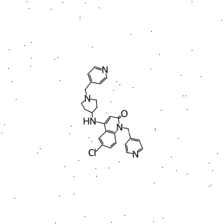 O=c1cc(NC2CCN(Cc3ccncc3)CC2)c2cc(Cl)ccc2n1Cc1ccncc1